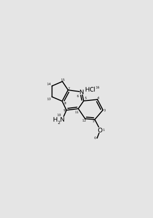 COc1ccc2nc3c(c(N)c2c1)CCC3.Cl